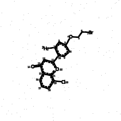 [2H]c1cc(OCCBr)ccc1-c1cc(=O)c2cccc(Cl)c2o1